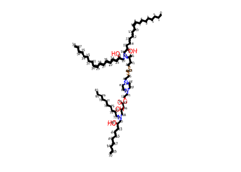 CCCCCCCC/C=C\CCCCCCC(O)CN(CC(O)CCCCCC/C=C\CCCCCCCC)C(C)CCSSCCN1CCN(CCOC(=O)CCCN(CC(O)CCCCCCCC)CC(O)CCCCCCCC)CC1